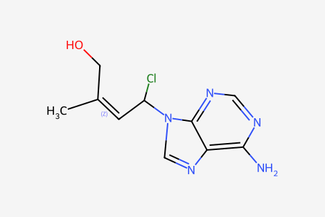 C/C(=C/C(Cl)n1cnc2c(N)ncnc21)CO